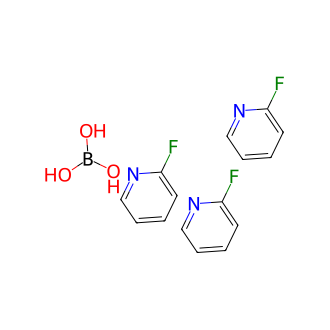 Fc1ccccn1.Fc1ccccn1.Fc1ccccn1.OB(O)O